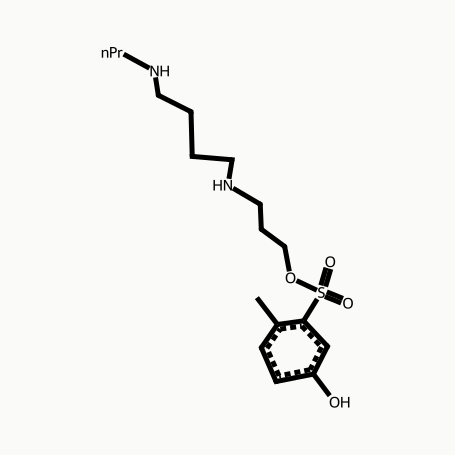 CCCNCCCCNCCCOS(=O)(=O)c1cc(O)ccc1C